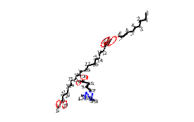 CCCCCCC=CCOC(=O)CCCCCCCCC(CCCCCCCC(=O)OC)OC(=O)CCCN(C)C